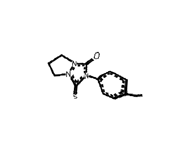 Cc1ccc(-n2c(=O)n3n(c2=S)CCC3)cc1